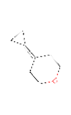 C1CC(=C2CC2)CCO1